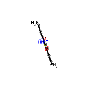 CCCCCCCCCCCCCCCCCC(=O)NNC(=N)CCCSCCC(=O)OCCCCCCCCCCCCCCCC